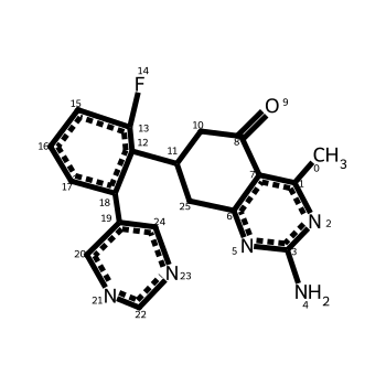 Cc1nc(N)nc2c1C(=O)CC(c1c(F)cccc1-c1cncnc1)C2